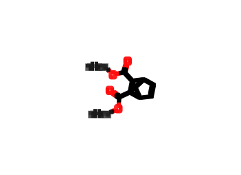 CCCCCCOC(=O)C1=C(C(=O)OCCCCCC)C2C=CC1C2